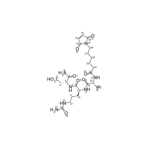 BC(=O)[C@@H](CC(=O)O)NC(=O)[C@H](CCCNC(N)=O)NC(=O)C(NC(=O)CCCCCN1C(=O)C=CC1=O)C(C)C